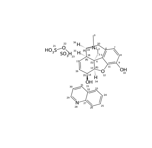 CN1CC[C@]23c4c5ccc(O)c4O[C@H]2[C@@H](O)C=C[C@H]3[C@H]1C5.O=S(=O)(O)OS(=O)(=O)O.c1ccc2ncccc2c1